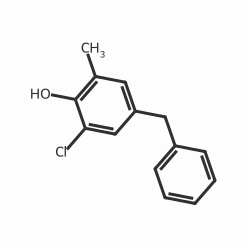 Cc1cc(Cc2ccccc2)cc(Cl)c1O